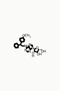 COc1ccc(C(CNc2ncnc3c2ncn3[C@@H]2O[C@H](CO)[C@@H](O)[C@H]2O)c2ccccc2)cc1